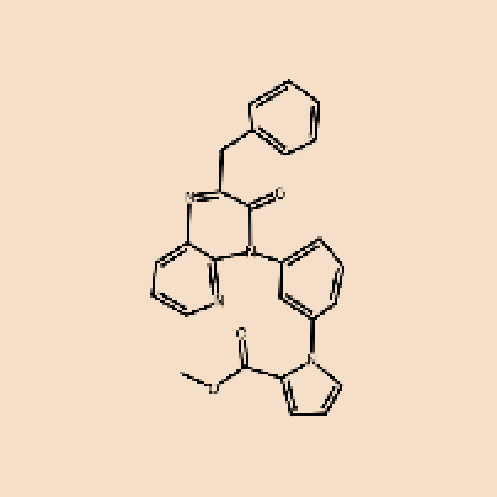 COC(=O)c1cccn1-c1cccc(-n2c(=O)c(Cc3ccccc3)nc3cccnc32)c1